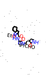 CCOn1c(C(=O)N[C@@H](CC(C)C)C(=O)N[C@H](C=O)C[C@@H]2CCNC2=O)cc2ccccc21